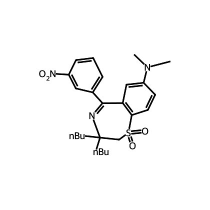 CCCCC1(CCCC)CS(=O)(=O)c2ccc(N(C)C)cc2C(c2cccc([N+](=O)[O-])c2)=N1